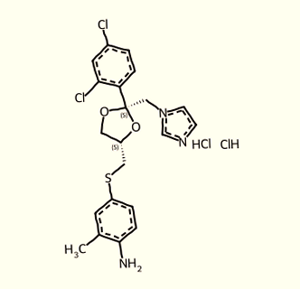 Cc1cc(SC[C@@H]2CO[C@@](Cn3ccnc3)(c3ccc(Cl)cc3Cl)O2)ccc1N.Cl.Cl